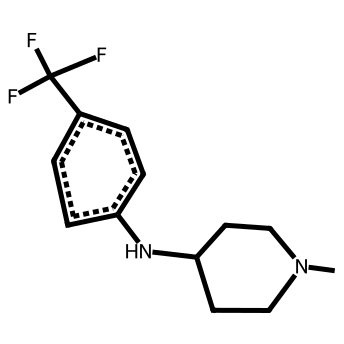 CN1CCC(Nc2ccc(C(F)(F)F)cc2)CC1